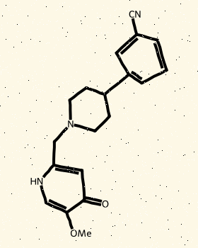 COc1c[nH]c(CN2CCC(c3cccc(C#N)c3)CC2)cc1=O